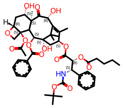 CCCCC(=O)O[C@@H](C(=O)O[C@H]1C[C@@]2(O)[C@@H](OC(=O)c3ccccc3)C3[C@](C)(C(=O)[C@H](O)C(=C1C)C2(C)C)[C@@H](O)C[C@H]1OC[C@@]31OC(C)=O)[C@@H](NC(=O)OC(C)(C)C)c1ccccc1